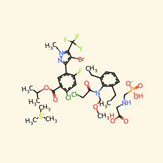 CC(C)OC(=O)c1cc(-c2nn(C)c(C(F)(F)F)c2Br)c(F)cc1Cl.CCc1cccc(CC)c1N(COC)C(=O)CCl.C[S+](C)C.O=C(O)CNCP(=O)([O-])O